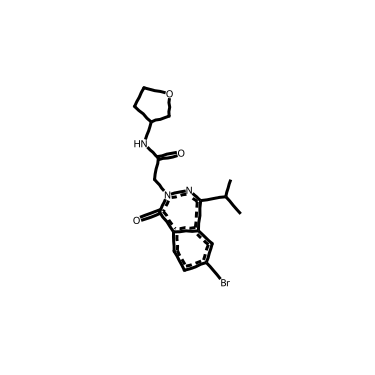 CC(C)c1nn(CC(=O)NC2CCOC2)c(=O)c2ccc(Br)cc12